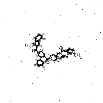 Cn1ccc2c(=O)n(CC3(O)CCN(C(=O)[C@@H]4CCN(C(=O)c5cc6ccccc6n5C)C[C@H]4c4ccccc4)CC3)cnc21